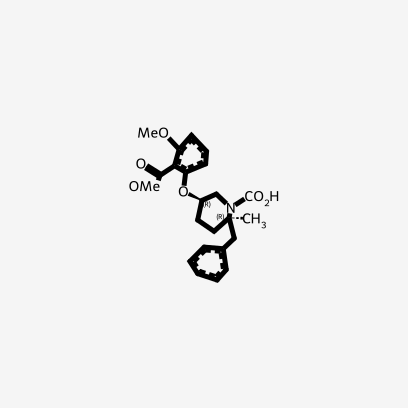 COC(=O)c1c(OC)cccc1O[C@@H]1CC[C@](C)(Cc2ccccc2)N(C(=O)O)C1